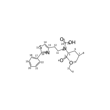 CCOC(=O)C(CC(C)C)N(CCc1csc(-c2ccccc2)n1)C(=O)O